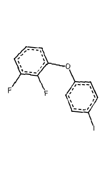 Fc1cccc(Oc2ccc(I)cc2)c1F